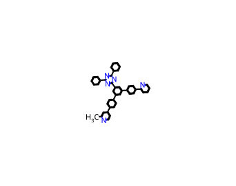 Cc1cc(-c2ccc(-c3cc(-c4ccc(-c5ccccn5)cc4)cc(-c4nc(-c5ccccc5)nc(-c5ccccc5)n4)c3)cc2)ccn1